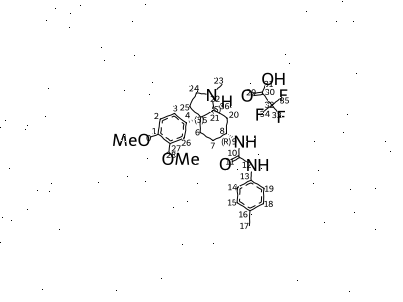 COc1ccc([C@@]23CC[C@@H](NC(=O)Nc4ccc(C)cc4)C[C@@H]2N(C)CC3)cc1OC.O=C(O)C(F)(F)F